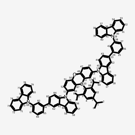 CC(C)c1cc(C(C)C)c(B2c3cc(-n4c5ccccc5c5cc(-c6cccc(-n7c8ccccc8c8ccccc87)c6)ccc54)ccc3Oc3ccc(-n4c5ccccc5c5cc(-c6cccc(-n7c8ccccc8c8ccccc87)c6)ccc54)cc32)c(C(C)C)c1